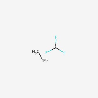 C[C](C)C.F[C](F)F